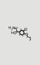 CCCOc1ccc(C(O)CN)cc1Cl